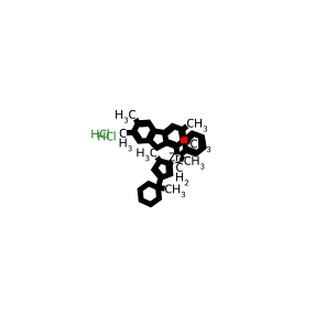 Cl.Cl.[CH2]=[Zr]([CH3])([C]1=CC(C2(C)CCCCC2)=CC1C)([c]1ccccc1)[c]1c(C)c(C)cc2c1Cc1cc(C)c(C)cc1-2